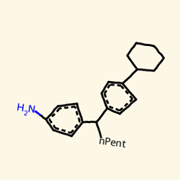 CCCCCC(c1ccc(N)cc1)c1ccc(C2CCCCC2)cc1